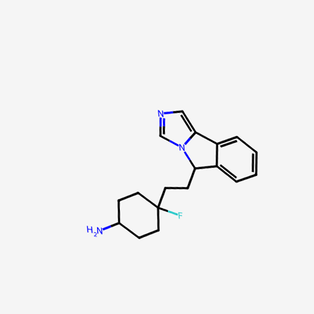 NC1CCC(F)(CCC2c3ccccc3-c3cncn32)CC1